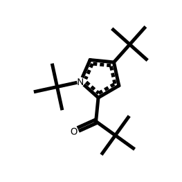 CC(C)(C)C(=O)c1cc(C(C)(C)C)cn1C(C)(C)C